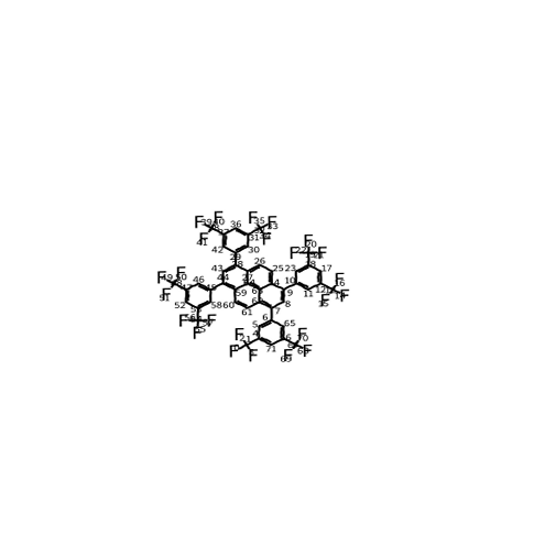 FC(F)(F)c1cc(-c2cc(-c3cc(C(F)(F)F)cc(C(F)(F)F)c3)c3ccc4c(-c5cc(C(F)(F)F)cc(C(F)(F)F)c5)cc(-c5cc(C(F)(F)F)cc(C(F)(F)F)c5)c5ccc2c3c54)cc(C(F)(F)F)c1